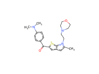 Cc1cc2cc(C(=O)c3ccc(N(C)C)cc3)sc2n1CCN1CCOCC1